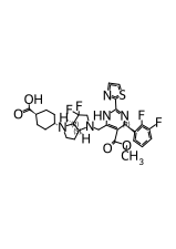 COC(=O)C1=C(CN2CC(F)(F)[C@H]3[C@@H]2CCN3[C@H]2CC[C@H](C(=O)O)CC2)NC(c2nccs2)=N[C@H]1c1cccc(F)c1F